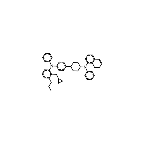 CCCc1cccc(N(c2ccccc2)c2ccc(C3CCC(N(c4ccccc4)c4cccc5c4CCC=C5)CC3)cc2)c1CC1CC1